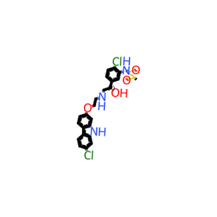 CS(=O)(=O)Nc1cc([C@@H](O)CNCCOc2ccc3c(c2)[nH]c2cc(Cl)ccc23)ccc1Cl